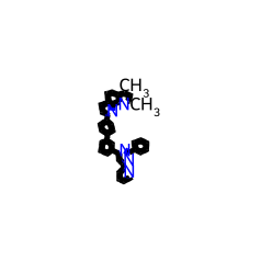 Cc1cc(C)c2ccc3ccc(-c4ccc(-c5cccc(-c6cc(-c7ccccn7)nc(-c7ccccc7)n6)c5)cc4)nc3c2n1